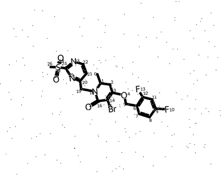 CC1CC(OCc2ccc(F)cc2F)=C(Br)C(=O)N1Cc1ccnc(S(C)(=O)=O)n1